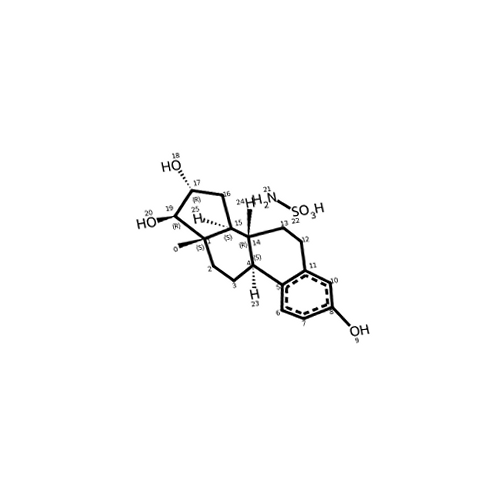 C[C@]12CC[C@@H]3c4ccc(O)cc4CC[C@H]3[C@@H]1C[C@@H](O)[C@@H]2O.NS(=O)(=O)O